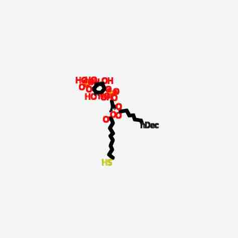 CCCCCCCCCCCCCCCC(=O)O[C@H](COC(=O)CCCCCCCCCS)COP(=O)(O)OC1C(O)[C@@H](O)C(OP(=O)(O)O)[C@@H](O)[C@H]1O